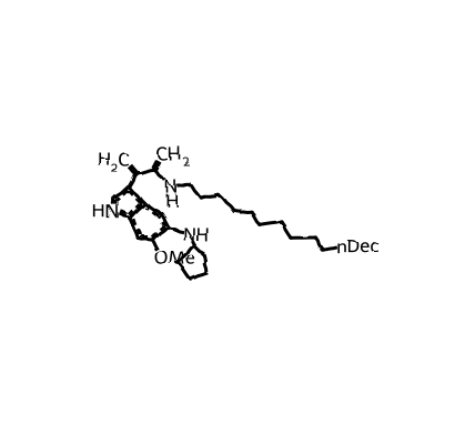 C=C(NCCCCCCCCCCCCCCCCCCCC)C(=C)c1c[nH]c2cc(OC)c(NC3CCCC3)cc12